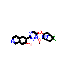 CO[C@H]1C2CC(F)(F)C(C[C@@H]1Oc1cnc(-c3cc4ccncc4cc3O)nn1)N2